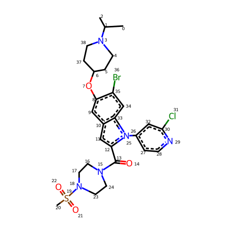 CC(C)N1CCC(Oc2cc3cc(C(=O)N4CCN(S(C)(=O)=O)CC4)n(-c4ccnc(Cl)c4)c3cc2Br)CC1